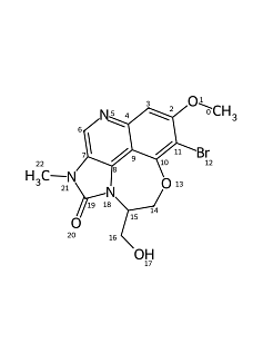 COc1cc2ncc3c4c2c(c1Br)OCC(CO)n4c(=O)n3C